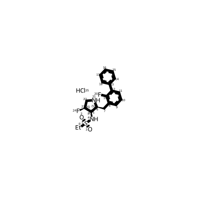 CCS(=O)(=O)N[C@@H]1[C@H](Cc2cccc(-c3ccccc3)c2F)NC[C@@H]1F.Cl